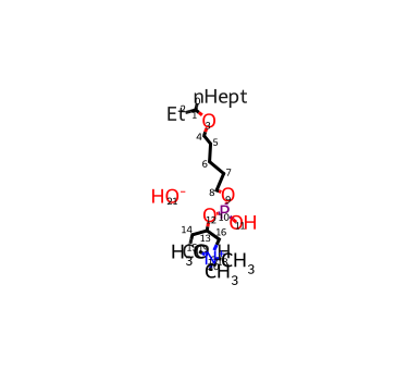 CCCCCCCC(CC)OCCCCCOP(O)OC(CC(=O)O)C[N+](C)(C)C.[OH-]